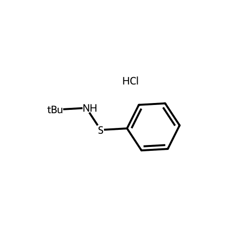 CC(C)(C)NSc1ccccc1.Cl